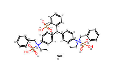 CC[N+](Cc1ccccc1)(c1ccc(C(c2ccc([N+](CC)(Cc3ccccc3)S(=O)(=O)O)cc2)c2ccccc2S(=O)(=O)O)cc1)S(=O)(=O)O.[NaH]